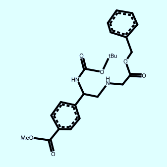 COC(=O)c1ccc(C(CNCC(=O)OCc2ccccc2)NC(=O)OC(C)(C)C)cc1